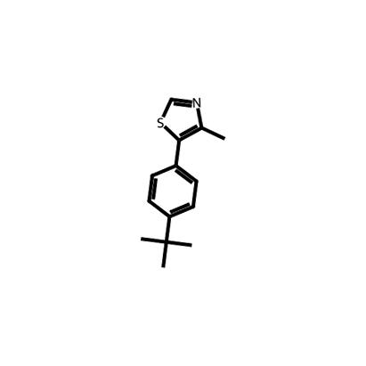 Cc1ncsc1-c1ccc(C(C)(C)C)cc1